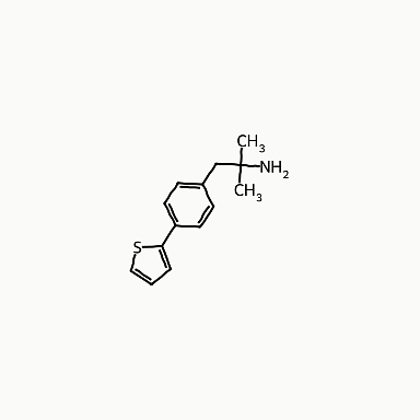 CC(C)(N)Cc1ccc(-c2cccs2)cc1